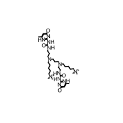 Cc1cc(=O)nc(NC(=O)NCCCN(CCCCC[N+](C)(C)C)CCCN(CCCCC[N+](C)(C)C)CCNC(=O)Nc2nc(=O)cc(C)[nH]2)[nH]1